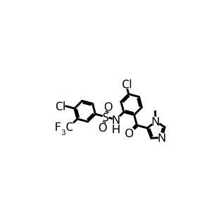 Cn1cncc1C(=O)c1ccc(Cl)cc1NS(=O)(=O)c1ccc(Cl)c(C(F)(F)F)c1